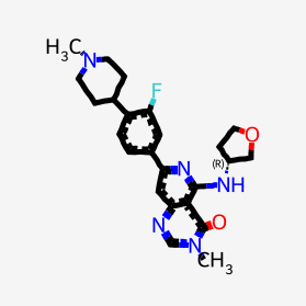 CN1CCC(c2ccc(-c3cc4ncn(C)c(=O)c4c(N[C@@H]4CCOC4)n3)cc2F)CC1